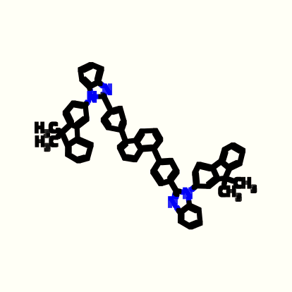 CC1(C)c2ccccc2-c2cc(-n3c(-c4ccc(-c5cccc6c(-c7ccc(-c8nc9ccccc9n8-c8ccc9c(c8)C(C)(C)c8ccccc8-9)cc7)cccc56)cc4)nc4ccccc43)ccc21